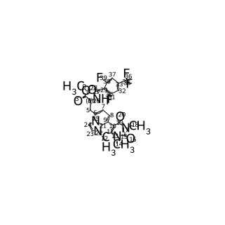 COC(=O)[C@H](Cc1ccc(-c2c(C)n(C)c(=O)n(C)c2=O)c2nccn12)NC(=O)c1c(F)cc(C(F)F)cc1F